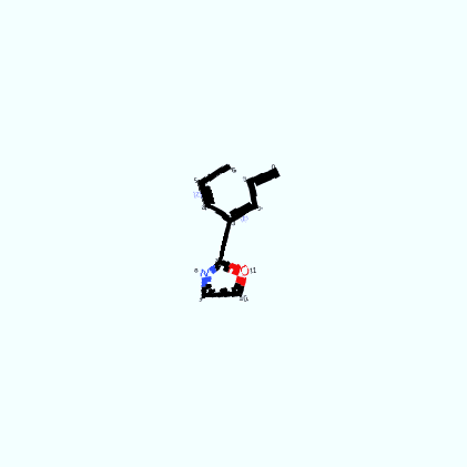 C=C/C=C(\C=C/C)c1ncco1